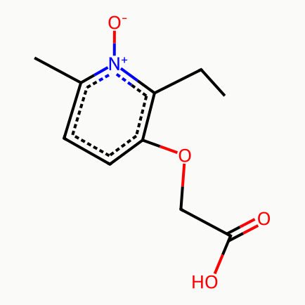 CCc1c(OCC(=O)O)ccc(C)[n+]1[O-]